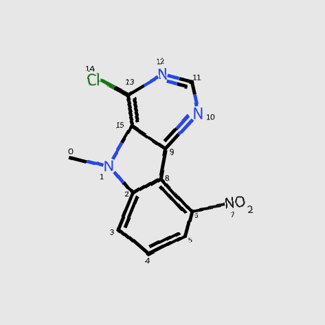 Cn1c2cccc([N+](=O)[O-])c2c2ncnc(Cl)c21